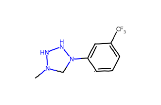 CN1CN(c2[c]ccc(C(F)(F)F)c2)NN1